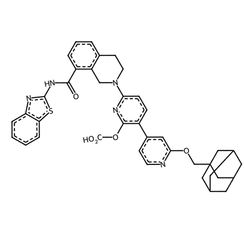 O=C(O)Oc1nc(N2CCc3cccc(C(=O)Nc4nc5ccccc5s4)c3C2)ccc1-c1ccnc(OCC23CC4CC(CC(C4)C2)C3)c1